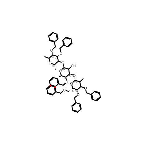 CC1C(OCc2ccccc2)[C@H](OCc2ccccc2)[C@H](COCc2ccccc2)O[C@@H]1O[C@@H]1C(O)[C@H](OC2[C@H](C)OC(C)[C@H](OCc3ccccc3)[C@@H]2OCc2ccccc2)OC(C)[C@@H]1OCc1ccccc1